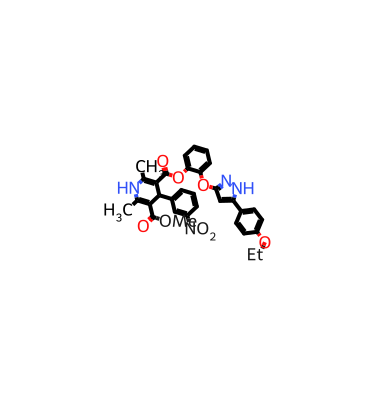 CCOc1ccc(-c2cc(Oc3ccccc3OC(=O)C3=C(C)NC(C)=C(C(=O)OC)C3c3cccc([N+](=O)[O-])c3)n[nH]2)cc1